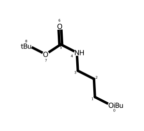 CC(C)COCCCNC(=O)OC(C)(C)C